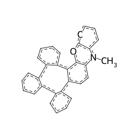 Cn1c2ccccc2oc2c3c4ccccc4c4ccccc4c4ccccc4c3ccc21